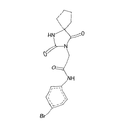 O=C(CN1C(=O)NC2(CCCC2)C1=O)Nc1ccc(Br)cc1